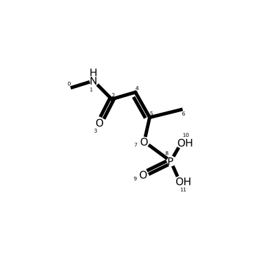 CNC(=O)C=C(C)OP(=O)(O)O